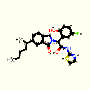 CCCCC(C)c1ccc2c(c1)C(=O)N(C(C(=O)Nc1nccs1)c1cc(F)ccc1O)C2